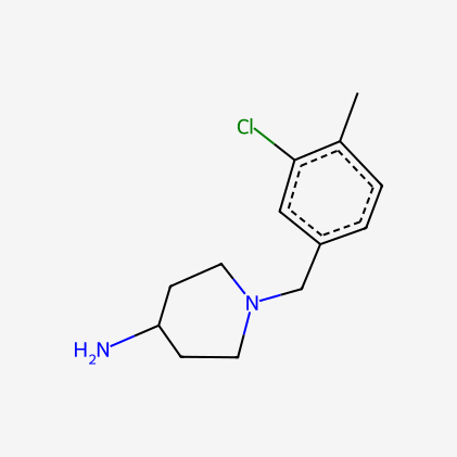 Cc1ccc(CN2CCC(N)CC2)cc1Cl